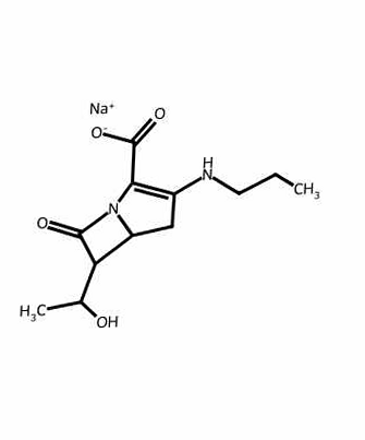 CCCNC1=C(C(=O)[O-])N2C(=O)C(C(C)O)C2C1.[Na+]